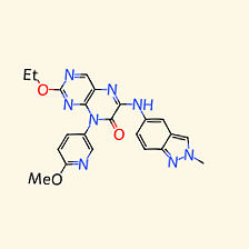 CCOc1ncc2nc(Nc3ccc4nn(C)cc4c3)c(=O)n(-c3ccc(OC)nc3)c2n1